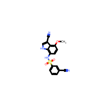 COc1ccc(NS(=O)(=O)c2cccc(C#N)c2)c2[nH]cc(C#N)c12